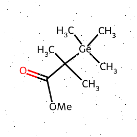 COC(=O)[C](C)(C)[Ge]([CH3])([CH3])[CH3]